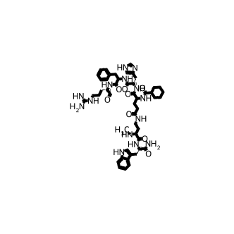 CNC(CCNC(=O)CCC(NC(=O)C1CCCCC1)C(=O)N[C@@H](Cc1c[nH]cn1)C(=O)NC(Cc1ccccc1)C(=O)N[C@H](C=O)CCCNC(=N)N)C(=O)N[C@@H](Cc1c[nH]c2ccccc12)C(N)=O